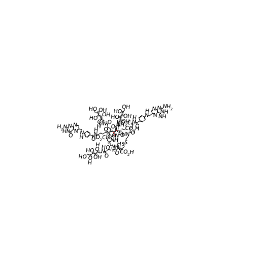 N=c1[nH]c(N)nc2ncc(CNc3ccc(C(=O)N[C@@H](CCC(=O)NCCSSC[C@@H](NC(=O)[C@H](CCC(=O)NC[C@H](O)[C@@H](O)[C@H](O)[C@H](O)CO)NC(=O)[C@@H](CCC(=O)O)NC(=O)[C@H](CCC(=O)NC[C@H](O)[C@@H](O)[C@H](O)[C@H](O)CO)NC(=O)[C@@H](CCC(=O)O)NC(=O)[C@H](CCC(=O)NC[C@H](O)[C@@H](O)[C@H](O)[C@H](O)CO)NC(=O)CCCNC(=O)c4ccc(NCc5cnc6nc(N)[nH]c(=O)c6n5)cc4)C(=O)O)C(=O)O)cc3)nc12